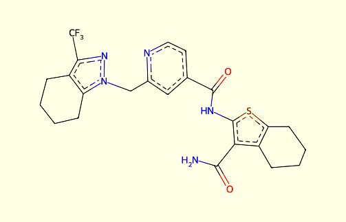 NC(=O)c1c(NC(=O)c2ccnc(Cn3nc(C(F)(F)F)c4c3CCCC4)c2)sc2c1CCCC2